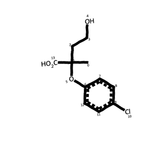 CC(CCO)(Oc1ccc(Cl)cc1)C(=O)O